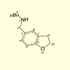 CCCCNCc1ccc2c(c1)CCO2